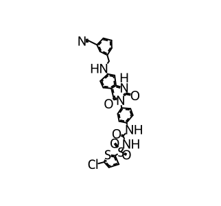 N#Cc1cccc(CNc2ccc3c(=O)n(-c4ccc(NC(=O)NS(=O)(=O)c5ccc(Cl)s5)cc4)c(=O)[nH]c3c2)c1